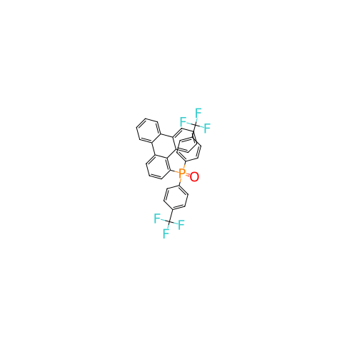 O=P(c1ccc(C(F)(F)F)cc1)(c1ccc(C(F)(F)F)cc1)c1cccc2c3ccccc3c3ccccc3c12